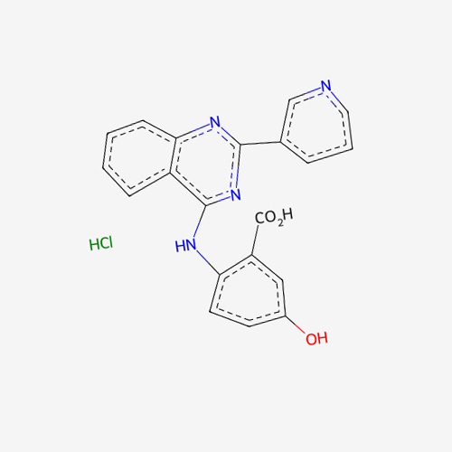 Cl.O=C(O)c1cc(O)ccc1Nc1nc(-c2cccnc2)nc2ccccc12